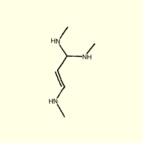 CNC=CC(NC)NC